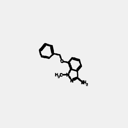 Cn1nc(N)c2cccc(OCc3ccccc3)c21